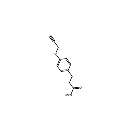 C#CCOc1ccc(CCC(=O)NC)cc1